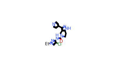 CCn1cc(Cl)c(NC(=O)N2CCc3[nH]nc(-c4ccncc4)c3C2)n1